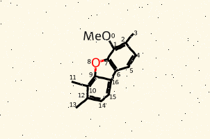 COc1c(C)ccc2c1oc1c(C)c(C)ccc12